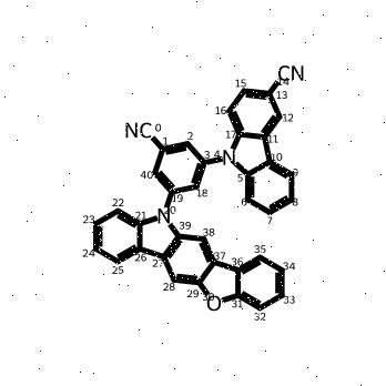 N#Cc1cc(-n2c3ccccc3c3cc(C#N)ccc32)cc(-n2c3ccccc3c3cc4oc5ccccc5c4cc32)c1